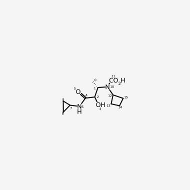 C[C@@H](C(O)C(=O)NC1CC1)N(C(=O)O)C1CCC1